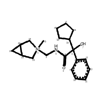 C[N+]1(CNC(=O)C(O)(c2ccccc2)C2CCCC2)CC2CC2C1